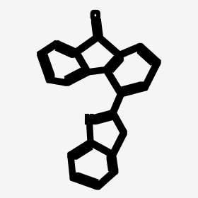 O=C1c2ccccc2-c2c1cccc2C1=Nc2ccccc2C1